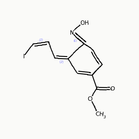 COC(=O)C1=CC(=C/C=C\I)/C(=N/O)C=C1